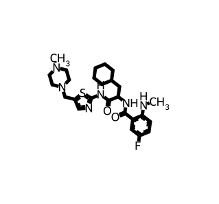 CNc1ccc(F)cc1C(=O)NC(CC1CCCCC1)C(=O)Nc1ncc(CN2CCN(C)CC2)s1